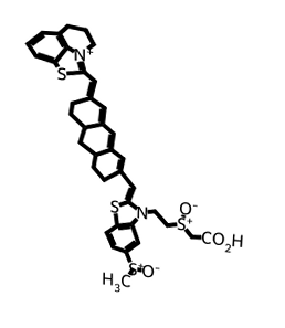 C[S+]([O-])c1ccc2c(c1)N(CC[S+]([O-])CC(=O)O)/C(=C/C1=CC3=CC4=C/C(=C/c5sc6cccc7c6[n+]5CCC7)CCC4CC3CC1)S2